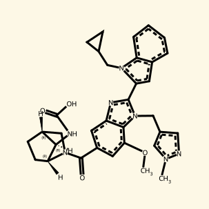 COc1cc(C(=O)N2C[C@H]3CC[C@@H]2[C@@H]3NC(=O)O)cc2nc(-c3cc4ccccc4n3CC3CC3)n(Cc3cnn(C)c3)c12